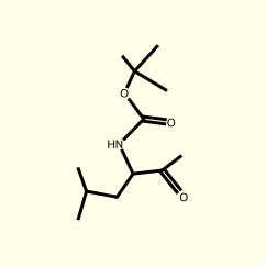 CC(=O)C(CC(C)C)NC(=O)OC(C)(C)C